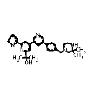 CC1(C)CN(Cc2ccc(-c3cncc(-c4cc(-c5ccccn5)nc(C(C)(C)O)c4)c3)cc2)CCN1